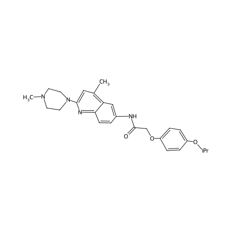 Cc1cc(N2CCN(C)CC2)nc2ccc(NC(=O)COc3ccc(OC(C)C)cc3)cc12